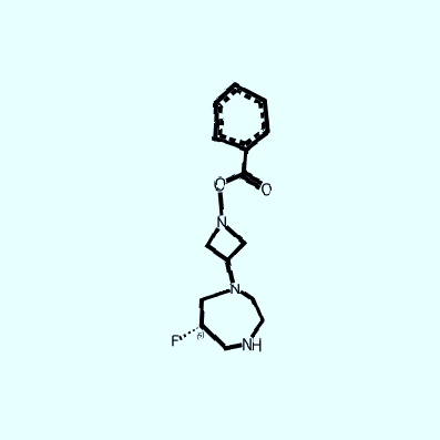 O=C(ON1CC(N2CCNC[C@H](F)C2)C1)c1ccccc1